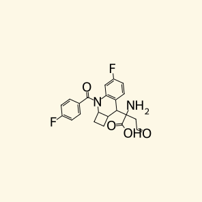 NC(CC=O)(C(=O)O)C1c2ccc(F)cc2N(C(=O)c2ccc(F)cc2)C2CCC21